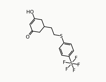 O=C1C=C(O)CC(CCSc2ccc(S(F)(F)(F)(F)F)cc2)C1